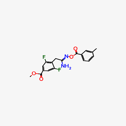 COC(=O)c1cc(F)c(C/C(N)=N/OC(=O)c2cccc(C)c2)c(F)c1